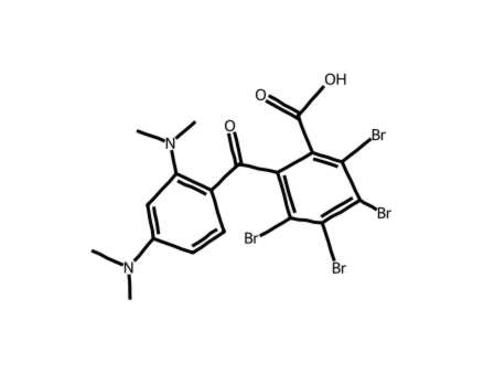 CN(C)c1ccc(C(=O)c2c(Br)c(Br)c(Br)c(Br)c2C(=O)O)c(N(C)C)c1